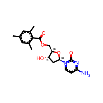 Cc1cc(C)c(C(=O)OC[C@H]2O[C@@H](n3ccc(N)nc3=O)C[C@@H]2O)c(C)c1